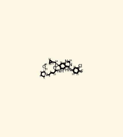 COC[C@H]1CCCN1CC=CC(=O)Nc1cc2c(Nc3ccc(F)c(Cl)c3)ncnc2cc1OCC1CC1